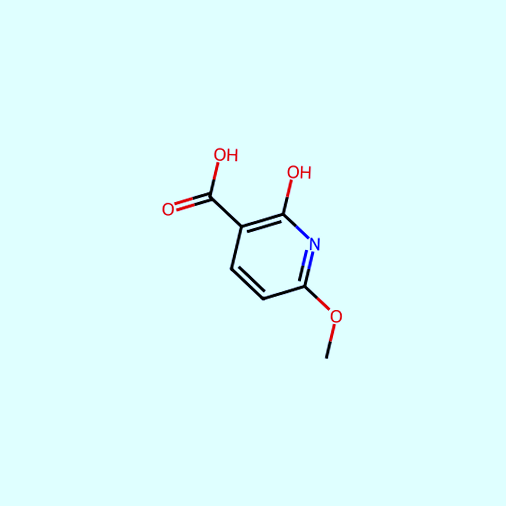 COc1ccc(C(=O)O)c(O)n1